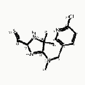 CN(Cc1ccc(Cl)nc1)C1=NC(C=S)NC1(C)C